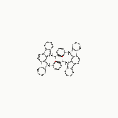 c1c2c3ccccc3n(-c3ccccc3)c2c2c(c#1)c1ccccc1n2-c1ccc(-n2c3ccccc3c3ccc4c5ccccc5n(-c5ccccc5)c4c32)cc1